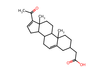 CC(=O)C1=CCC2C3CC=C4CC(CC(=O)O)CCC4(C)C3CCC12C